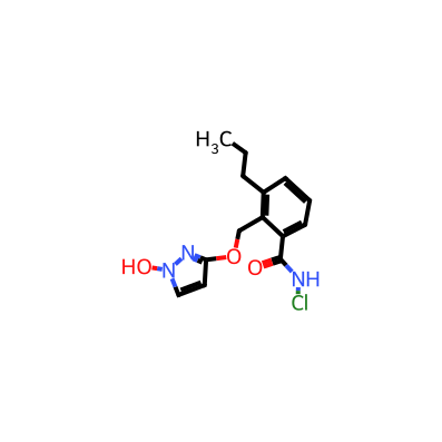 CCCc1cccc(C(=O)NCl)c1COc1ccn(O)n1